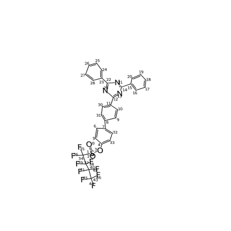 O=S(=O)(Oc1ccc(-c2ccc(-c3nc(-c4ccccc4)nc(-c4ccccc4)n3)cc2)cc1)C(F)(F)C(F)(F)C(F)(F)C(F)(F)F